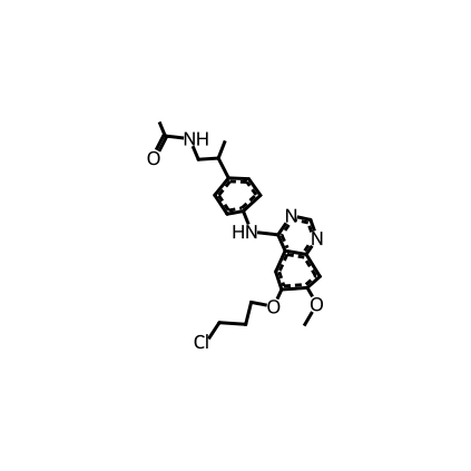 COc1cc2ncnc(Nc3ccc(C(C)CNC(C)=O)cc3)c2cc1OCCCCl